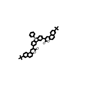 CC(C)(C)c1ccc2c(ccc3oc(=O)c(-c4ccc5c(c4)c4cc(-c6cc7c(ccc8cc(C(C)(C)C)ccc87)oc6=O)ccc4n5-c4ccccc4)cc32)c1